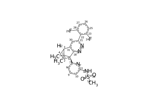 CC1(C)[C@H]2CC[C@@]1(c1cccc(NS(C)(=O)=O)n1)c1nnc(-c3c(F)cccc3F)cc12